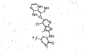 Cn1cc(C(F)(F)F)cc(Nc2nc3ncc(O/C(C=N)=C4/NC=CN=C4N)c(Cl)c3n2C)c1=O